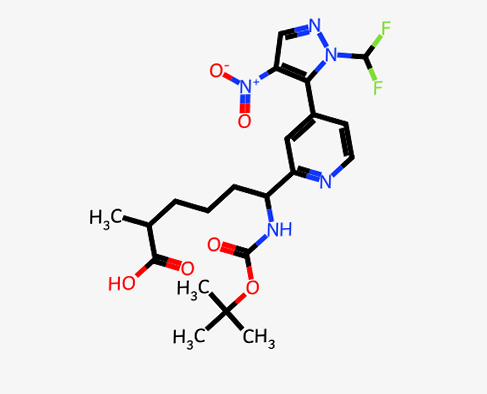 CC(CCCC(NC(=O)OC(C)(C)C)c1cc(-c2c([N+](=O)[O-])cnn2C(F)F)ccn1)C(=O)O